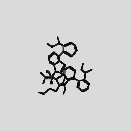 CCCCC1=Cc2c(-c3ccccc3C(C)CC)cccc2[CH]1[Hf]([Cl])([Cl])([CH]1C(CCCC)=Cc2c(-c3ccccc3C(C)CC)cccc21)[SiH](C)C